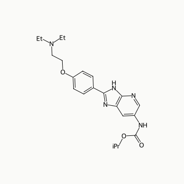 CCN(CC)CCOc1ccc(-c2nc3cc(NC(=O)OC(C)C)cnc3[nH]2)cc1